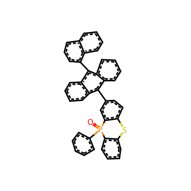 O=P1(c2ccccc2)c2ccccc2Sc2ccc(-c3c4ccccc4c(-c4cccc5ccccc45)c4ccccc34)cc21